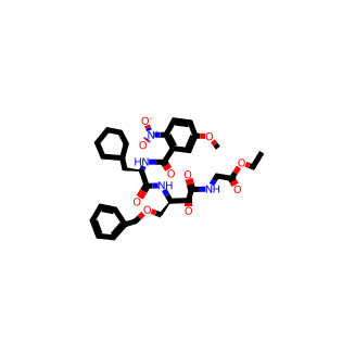 CCOC(=O)CNC(=O)C(=O)[C@@H](COCc1ccccc1)NC(=O)[C@@H](CC1CCCCC1)NC(=O)c1cc(OC)ccc1[N+](=O)[O-]